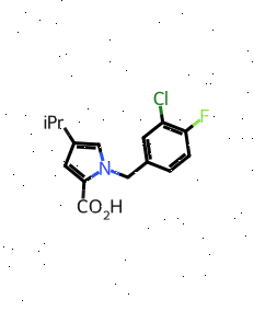 CC(C)c1cc(C(=O)O)n(Cc2ccc(F)c(Cl)c2)c1